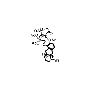 CCCN1CCC[C@@H]2Cc3c(ccc(OC(C)=O)c3O[C@@H]3O[C@H](C(=O)OC)[C@@H](OC(C)=O)[C@H](OC(C)=O)[C@H]3OC(C)=O)C[C@H]21